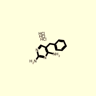 Cl.Cl.Cl.Nc1ncc(Cc2ccccc2)c(N)n1